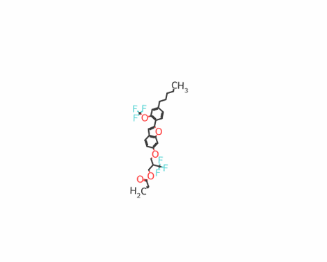 C=CC(=O)OCC(COc1ccc2cc(-c3ccc(CCCCC)cc3OC(F)(F)F)oc2c1)C(F)(F)F